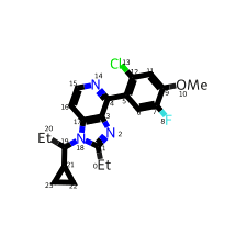 CCc1nc2c(-c3cc(F)c(OC)cc3Cl)nccc2n1C(CC)C1CC1